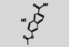 CC(=O)Oc1ccc2cc(C(=O)O)ccc2c1.Cl